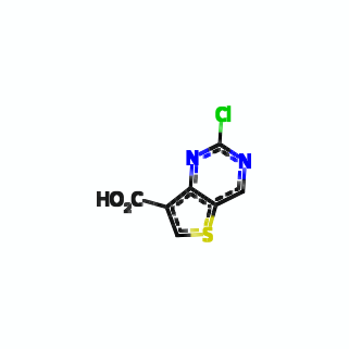 O=C(O)c1csc2cnc(Cl)nc12